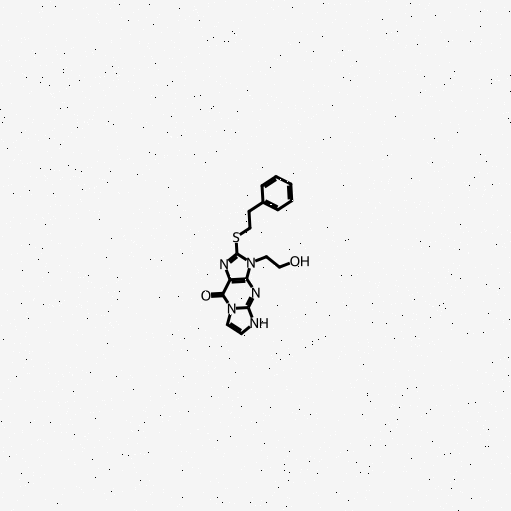 O=c1c2nc(SCCc3ccccc3)n(CCO)c2nc2[nH]ccn12